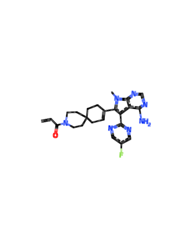 C=CC(=O)N1CCC2(CC=C(c3c(-c4ncc(F)cn4)c4c(N)ncnc4n3C)CC2)CC1